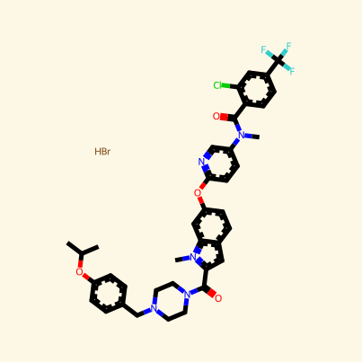 Br.CC(C)Oc1ccc(CN2CCN(C(=O)c3cc4ccc(Oc5ccc(N(C)C(=O)c6ccc(C(F)(F)F)cc6Cl)cn5)cc4n3C)CC2)cc1